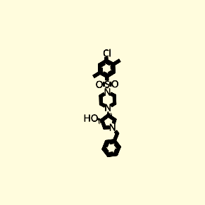 Cc1cc(S(=O)(=O)N2CCN([C@@H]3CN(Cc4ccccc4)C[C@H]3O)CC2)c(C)cc1Cl